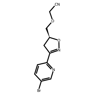 N#CCOC[C@@H]1CC(c2ccc(Br)cn2)=NO1